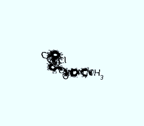 CN1CCN(C2CCN(C(=O)COCC3CCCN3S(=O)(=O)c3c(Cl)cccc3Cl)CC2)CC1